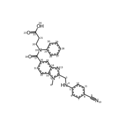 Cn1c(CNc2ccc(C#N)cc2)nc2cc(C(=O)N(CCC(=O)O)c3ccccc3)ccc21